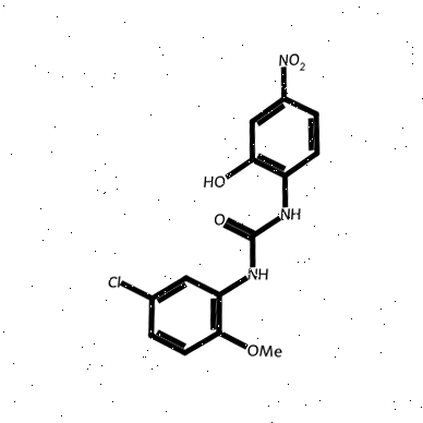 COc1ccc(Cl)cc1NC(=O)Nc1ccc([N+](=O)[O-])cc1O